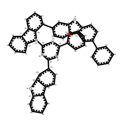 c1ccc(-c2ccc3oc4cc(-c5cccc6c7ccccc7n(-c7nc(-c8ccccc8)nc(-c8ccc9c(c8)oc8ccccc89)n7)c56)ccc4c3c2)cc1